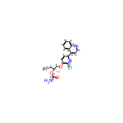 CC(C)C[C@@](C)(COc1ccc(-c2ccnc3ccccc23)nc1Cl)OC(N)=O